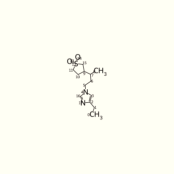 CCc1cn(CCC(C)C2CCS(=O)(=O)C2)cn1